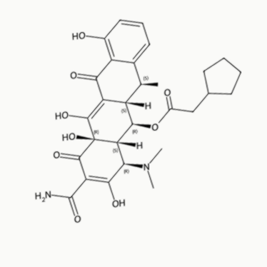 C[C@@H]1c2cccc(O)c2C(=O)C2=C(O)[C@@]3(O)C(=O)C(C(N)=O)=C(O)[C@H](N(C)C)[C@H]3[C@H](OC(=O)CC3CCCC3)[C@H]21